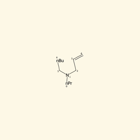 [CH2]CCN(CC=C)CCCCC